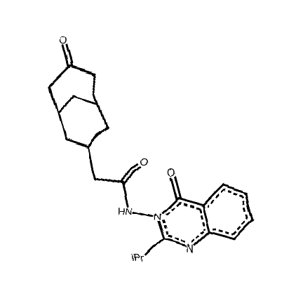 CC(C)c1nc2ccccc2c(=O)n1NC(=O)CC1CC2CC(=O)CC(C2)C1